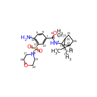 CC1(C)C(NC(=O)c2ccc(N)c(S(=O)(=O)N3CCOCC3)c2)[C@@]2(C)CC[C@@H]1C2